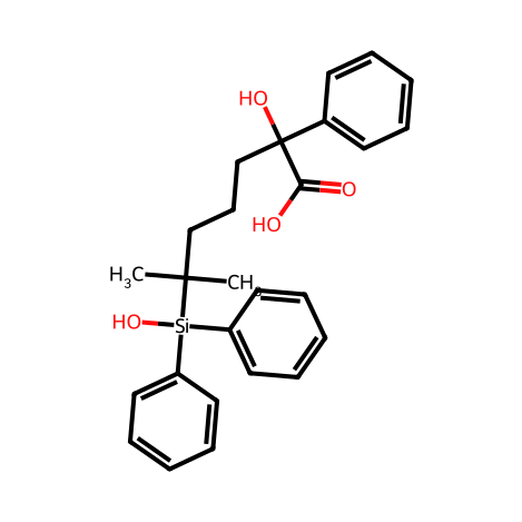 CC(C)(CCCC(O)(C(=O)O)c1ccccc1)[Si](O)(c1ccccc1)c1ccccc1